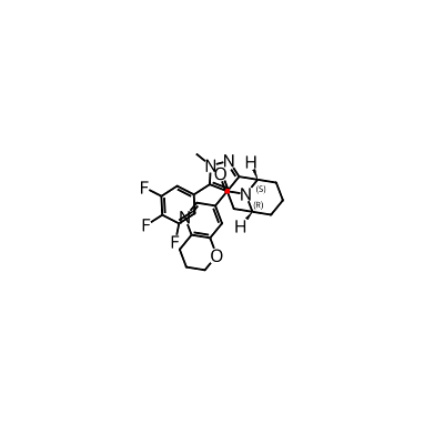 Cn1nc2c(c1-c1cc(F)c(F)c(F)c1)C[C@H]1CCC[C@@H]2N1C(=O)c1cnc2c(c1)OCCC2